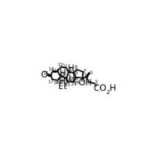 C=C(CCC(=O)O)[C@]1(O)CC[C@H]2[C@@H]3CCC4=CC(=O)CC[C@@H]4[C@H]3[C@@H](CC)C[C@@]21C